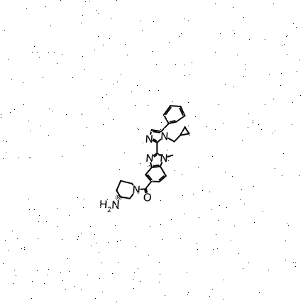 Cn1c(-c2ncc(-c3ccccc3)n2CC2CC2)nc2cc(C(=O)N3CCC[C@@H](N)C3)ccc21